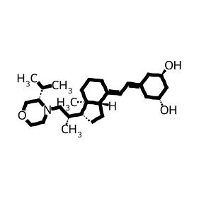 CC(C)[C@H]1COCCN1C[C@@H](C)[C@H]1CC[C@H]2/C(=C/C=C3C[C@@H](O)C[C@H](O)C3)CCC[C@]12C